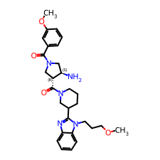 COCCCn1c(C2CCCN(C(=O)[C@@H]3CN(C(=O)c4cccc(OC)c4)C[C@H]3N)C2)nc2ccccc21